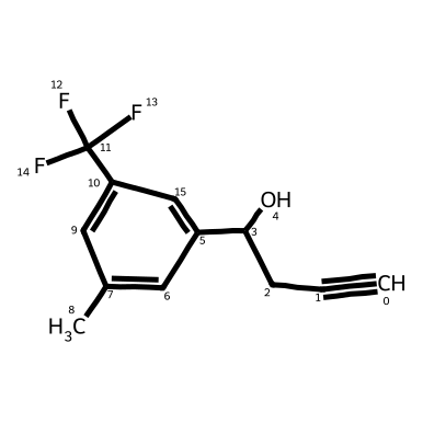 C#CCC(O)c1cc(C)cc(C(F)(F)F)c1